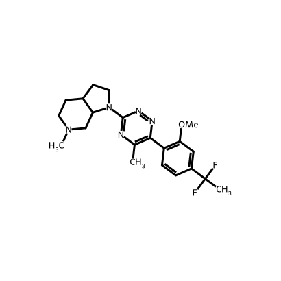 COc1cc(C(C)(F)F)ccc1-c1nnc(N2CCC3CCN(C)CC32)nc1C